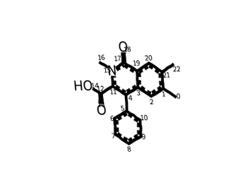 Cc1cc2c(-c3ccccc3)c(C(=O)O)n(C)c(=O)c2cc1C